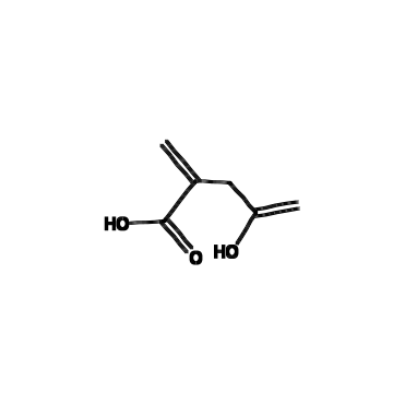 C=C(O)CC(=C)C(=O)O